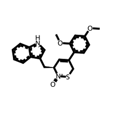 COc1ccc(C2=C[C@H](Cc3c[nH]c4ccccc34)[N+](=O)SC2)c(OC)c1